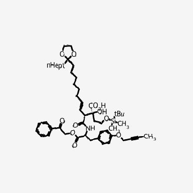 CC#CCOc1ccc(C[C@H](NC(=O)[C@@H](/C=C/CCCCCCC2(CCCCCCC)OCCO2)[C@@](O)(CCO[Si](C)(C)C(C)(C)C)C(=O)O)C(=O)OCC(=O)c2ccccc2)cc1